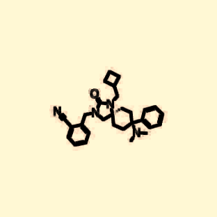 CN(C)[C@]1(c2ccccc2)CC[C@]2(CC1)CN(Cc1ccccc1C#N)C(=O)N2CC1CCC1